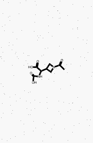 CC(=O)N1CC(C(NC(=O)O)C(=O)O)C1